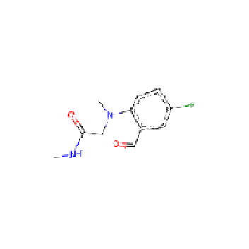 CNC(=O)CN(C)c1ccc(F)cc1C=O